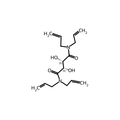 C=CCN(CC=C)C(=O)[C@@H](O)[C@H](O)C(=O)N(CC=C)CC=C